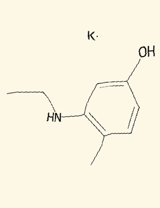 CCNc1cc(O)ccc1C.[K]